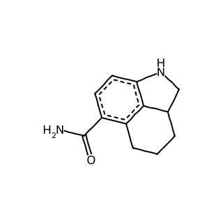 NC(=O)c1ccc2c3c1CCCC3CN2